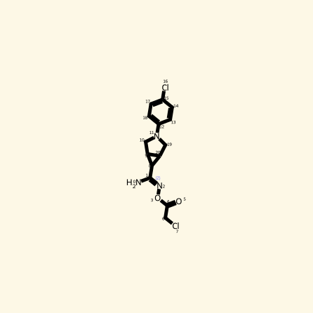 N/C(=N\OC(=O)CCl)C1C2CN(c3ccc(Cl)cc3)CC21